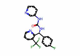 O=C(Nc1cccnc1)N[C@@H](c1ccc(F)cc1)c1ncccc1C(F)(F)F